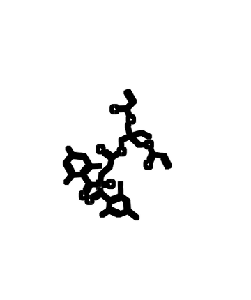 C=CC(=O)OCC(CC)(COC(=O)C=C)COC(=O)CCP(=O)(C(=O)c1c(C)cc(C)cc1C)C(=O)c1c(C)cc(C)cc1C